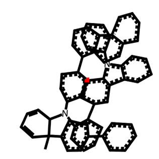 CC1(c2ccc(-c3ccccc3)cc2)C=CC=CC1N(c1ccc(-c2cccc3c2ccc2ccccc23)cc1)c1ccccc1-c1ccc2c(c1)c1ccccc1n2-c1ccccc1